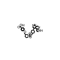 O=C(O)c1ccc(OCC2CCCN(S(=O)(=O)CC3CCC(c4cnnc5cnc6[nH]ccc6c45)CC3)C2)cc1